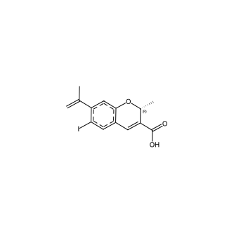 C=C(C)c1cc2c(cc1I)C=C(C(=O)O)[C@@H](C)O2